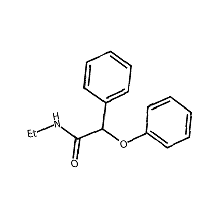 CCNC(=O)C(Oc1ccccc1)c1ccccc1